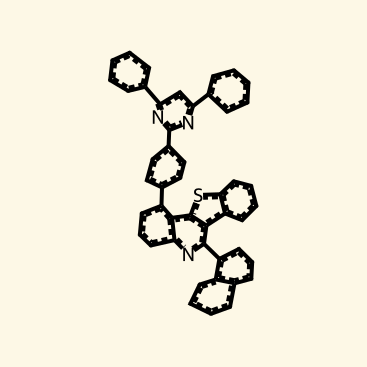 c1ccc(-c2cc(-c3ccccc3)nc(-c3ccc(-c4cccc5nc(-c6cccc7ccccc67)c6c7ccccc7sc6c45)cc3)n2)cc1